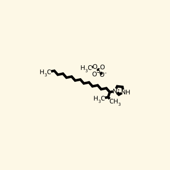 CCCCCCCCCCCCCCC(C(C)C)[N+]1=CNCC1.COS(=O)(=O)[O-]